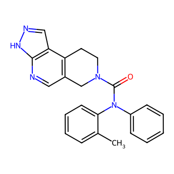 Cc1ccccc1N(C(=O)N1CCc2c(cnc3[nH]ncc23)C1)c1ccccc1